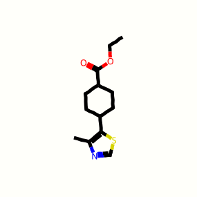 CCOC(=O)C1CCC(c2scnc2C)CC1